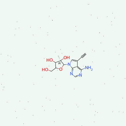 C#Cc1cn(C2OC(CO)C(O)[C@@]2(C)O)c2ncnc(N)c12